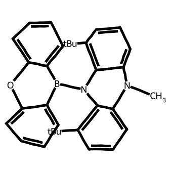 CN1c2cccc(C(C)(C)C)c2N(B2c3ccccc3Oc3ccccc32)c2c1cccc2C(C)(C)C